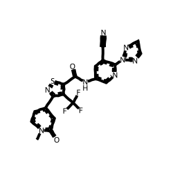 Cn1ccc(-c2nsc(C(=O)Nc3cnc(-n4nccn4)c(C#N)c3)c2C(F)(F)F)cc1=O